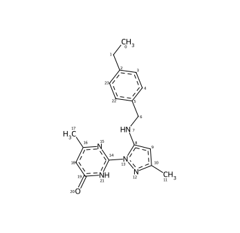 CCc1ccc(CNc2cc(C)nn2-c2nc(C)cc(=O)[nH]2)cc1